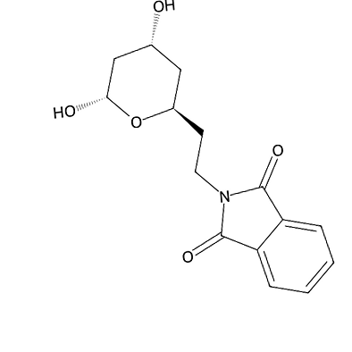 O=C1c2ccccc2C(=O)N1CC[C@@H]1C[C@@H](O)C[C@@H](O)O1